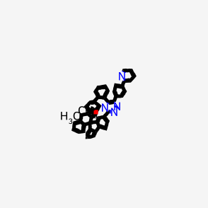 CC1(C)c2ccccc2C2(c3ccccc3-c3ccc(-c4nnc(-c5ccc(-c6ccccn6)cc5)c(-c5ccccc5-c5ccccc5)n4)cc32)c2ccccc21